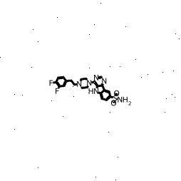 NS(=O)(=O)c1ccc2[nH]c3c(N4CCN(CCc5ccc(F)c(F)c5)CC4)ncnc3c2c1